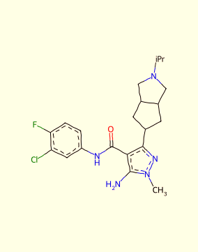 CC(C)N1CC2CC(c3nn(C)c(N)c3C(=O)Nc3ccc(F)c(Cl)c3)CC2C1